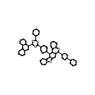 c1ccc(-c2ccc(-c3nc4ccccc4c4c(-c5ccc(-c6nc(-c7ccccc7)nc(-c7cc8ccccc8c8ccccc78)n6)cc5)c5c(cc34)oc3ccccc35)cc2)cc1